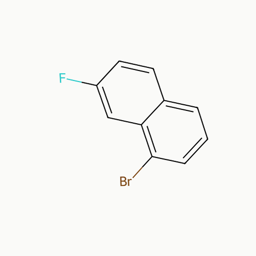 Fc1ccc2cccc(Br)c2c1